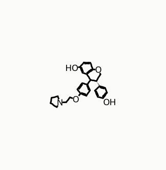 Oc1ccc([C@H]2COc3ccc(O)cc3C2c2ccc(OCCN3CCCC3)cc2)cc1